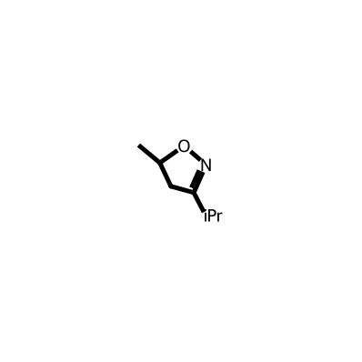 CC1CC(C(C)C)=NO1